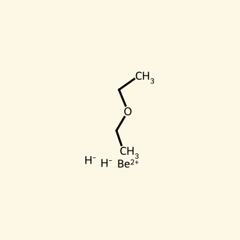 CCOCC.[Be+2].[H-].[H-]